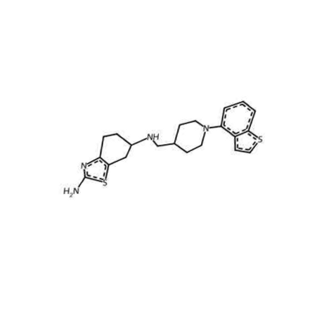 Nc1nc2c(s1)CC(NCC1CCN(c3cccc4sccc34)CC1)CC2